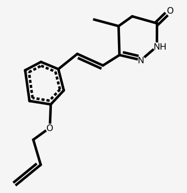 C=CCOc1cccc(C=CC2=NNC(=O)CC2C)c1